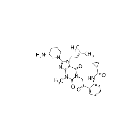 CC(C)=CCn1c(N2CCCC(N)C2)nc2c1c(=O)n(CC(=O)c1ccccc1NC(=O)C1CC1)c(=O)n2C